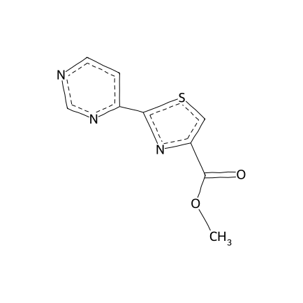 COC(=O)c1csc(-c2ccncn2)n1